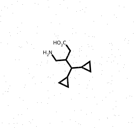 NCC(CC(=O)O)C(C1CC1)C1CC1